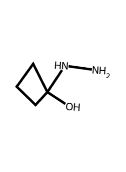 NNC1(O)CCC1